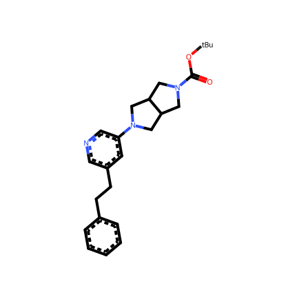 CC(C)(C)OC(=O)N1CC2CN(c3cncc(CCc4ccccc4)c3)CC2C1